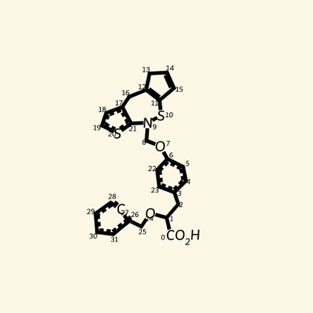 O=C(O)C(Cc1ccc(OCN2SC3=C(CC=C3)Cc3ccsc32)cc1)OCc1ccccc1